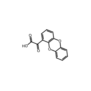 O=C(O)C(=O)c1cccc2c1Oc1ccccc1O2